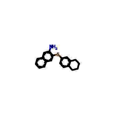 Nc1cc2ccccc2cc1Sc1ccc2c(c1)CCCC2